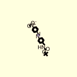 CC(C)(C)OC(=O)NCc1ccc(/N=N/c2ccc([N+](=O)[O-])cc2)cc1